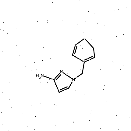 Nc1ccn(CC2=CCCC=C2)n1